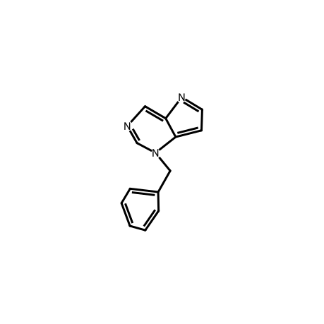 c1ccc(Cn2cncc3nccc2-3)cc1